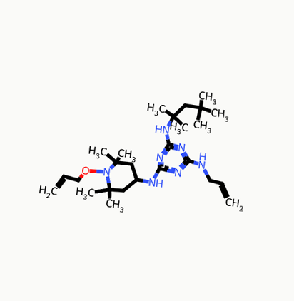 C=CCNc1nc(NC2CC(C)(C)N(OCC=C)C(C)(C)C2)nc(NC(C)(C)CC(C)(C)C)n1